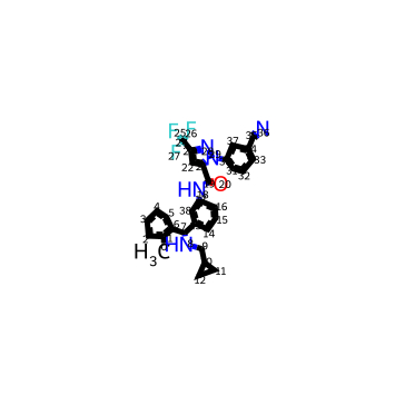 Cc1ccccc1C(NCC1CC1)c1cccc(NC(=O)c2cc(C(F)(F)F)nn2-c2cccc(C#N)c2)c1